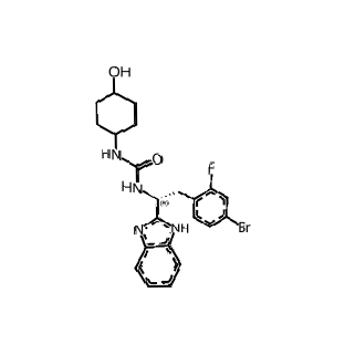 O=C(NC1CCC(O)CC1)N[C@H](Cc1ccc(Br)cc1F)c1nc2ccccc2[nH]1